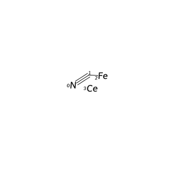 N#[C][Fe].[Ce]